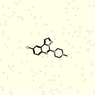 CN1CCN(c2nc3ccc(Cl)cc3c3ccnn23)CC1